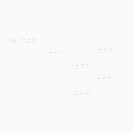 C=CCOc1[c]ccc2ccccc12